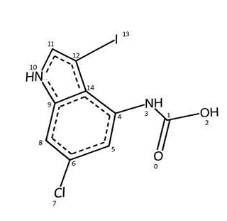 O=C(O)Nc1cc(Cl)cc2[nH]cc(I)c12